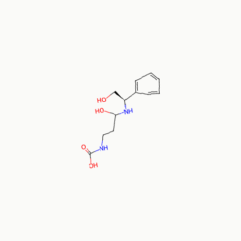 O=C(O)NCCC(O)N[C@@H](CO)c1ccccc1